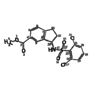 COC(=O)c1ccc2c(c1)C(NS(=O)(=O)c1c(Cl)cccc1Cl)CC2